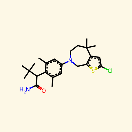 Cc1cc(N2CCC(C)(C)c3cc(Cl)sc3C2)cc(C)c1C(C(N)=O)C(C)(C)C